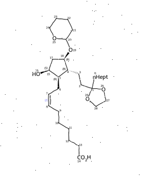 CCCCCCCC1(CC[C@@H]2[C@@H](C/C=C\CCCCCC(=O)O)[C@@H](O)C[C@H]2OC2CCCCO2)OCCO1